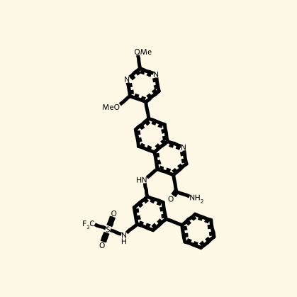 COc1ncc(-c2ccc3c(Nc4cc(NS(=O)(=O)C(F)(F)F)cc(-c5ccccc5)c4)c(C(N)=O)cnc3c2)c(OC)n1